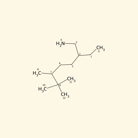 CCC(CN)CCC(C)C(C)(C)C